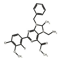 COC(=O)c1nc(-c2ccc(Cl)c(OC)c2F)nc2c1N(CN)C(C)N2Cc1ccccc1